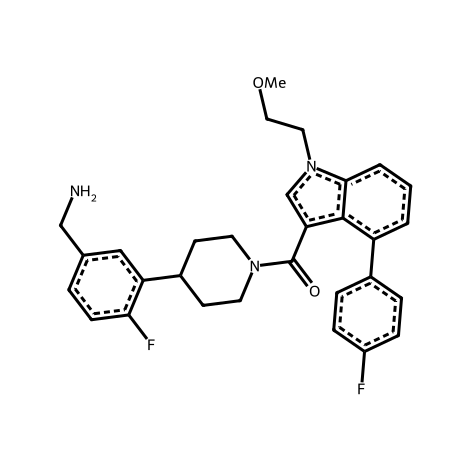 COCCn1cc(C(=O)N2CCC(c3cc(CN)ccc3F)CC2)c2c(-c3ccc(F)cc3)cccc21